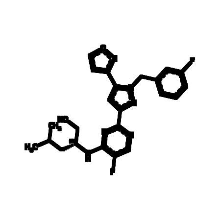 CC(C)C[C@H](CO)Nc1nc(-c2cc(-c3ccon3)n(Cc3cccc(F)c3)n2)ncc1F